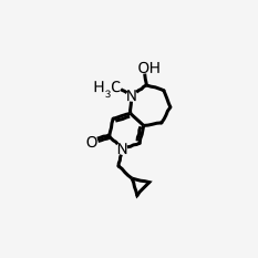 CN1c2cc(=O)n(CC3CC3)cc2CCCC1O